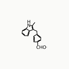 Cc1[nH]c2ccccc2c1Cc1ccc([C]=O)cc1